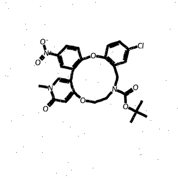 Cn1cc2c(cc1=O)OCCN(C(=O)OC(C)(C)C)Cc1cc(Cl)ccc1Oc1ccc([N+](=O)[O-])cc1-2